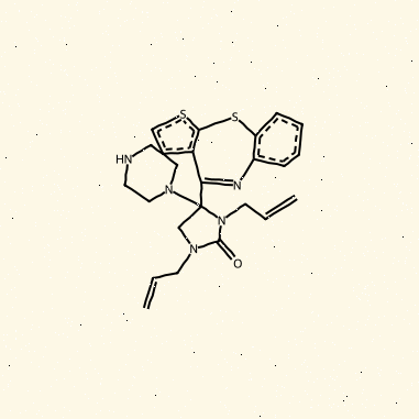 C=CCN1CC(C2=Nc3ccccc3Sc3sccc32)(N2CCNCC2)N(CC=C)C1=O